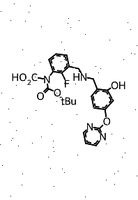 CC(C)(C)OC(=O)N(C(=O)O)c1cccc(CNCc2ccc(Oc3ncccn3)cc2O)c1F